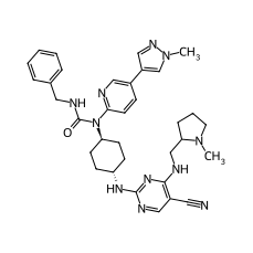 CN1CCCC1CNc1nc(N[C@H]2CC[C@H](N(C(=O)NCc3ccccc3)c3ccc(-c4cnn(C)c4)cn3)CC2)ncc1C#N